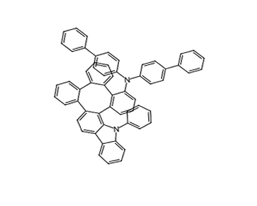 c1ccc(-c2ccc(N(c3ccc(-c4ccccc4)cc3)c3cccc4c3-c3ccccc3-c3ccccc3-c3ccc5c6ccccc6n(-c6ccccc6)c5c3-4)cc2)cc1